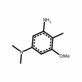 COc1cc(N(C)C)cc(N)c1C